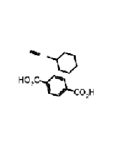 C=C.CC1CCCCC1.O=C(O)c1ccc(C(=O)O)cc1